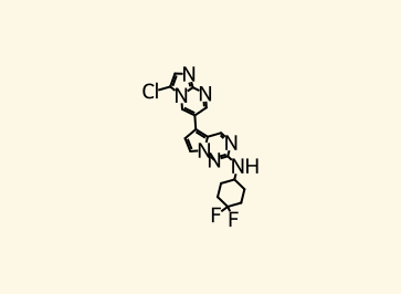 FC1(F)CCC(Nc2ncc3c(-c4cnc5ncc(Cl)n5c4)ccn3n2)CC1